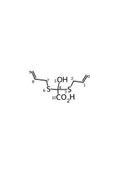 C=CCSC(O)(SCC=C)C(=O)O